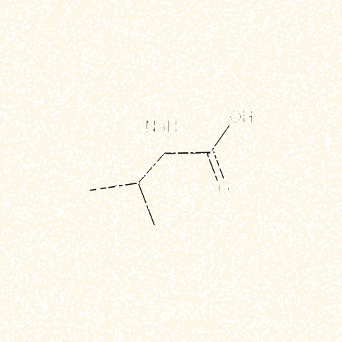 CC(C)CC(=O)O.[NaH]